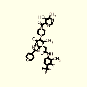 Cc1ncnc(C(=O)N2CCN(c3c(C)n(CC(=O)Nc4ccc(C(F)(F)F)c(F)c4C)c4nc(C5=CCOCC5)nn4c3=O)CC2)c1O